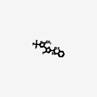 Cn1nc(C(F)(F)F)cc1-c1sc(C(=O)Nc2ccccc2F)cc1F